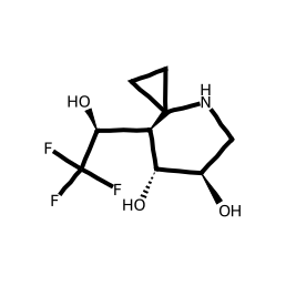 O[C@@H]1[C@@H]([C@H](O)C(F)(F)F)C2(CC2)NC[C@H]1O